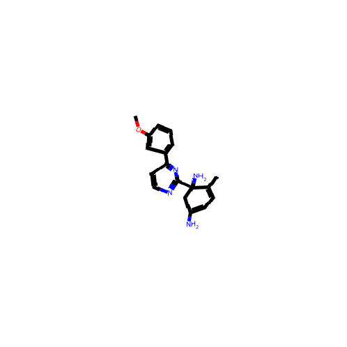 COc1cccc(-c2ccnc(C3(N)CC(N)=CC=C3C)n2)c1